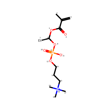 C=C(C)C(=O)OC(CC)OP(=O)([O-])OCCC[N+](C)(C)C